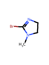 CN1[CH]CN=C1Br